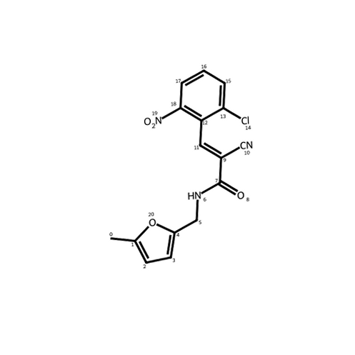 Cc1ccc(CNC(=O)/C(C#N)=C/c2c(Cl)cccc2[N+](=O)[O-])o1